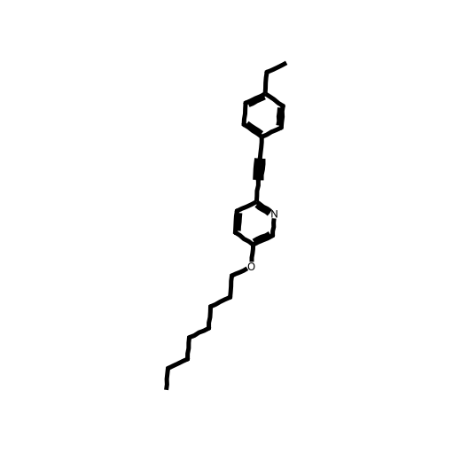 CCCCCCCCOc1ccc(C#Cc2ccc(CC)cc2)nc1